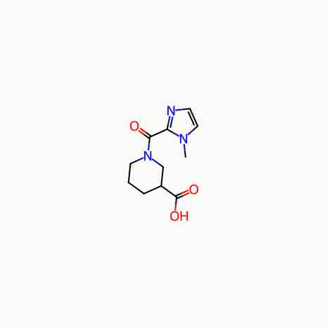 Cn1ccnc1C(=O)N1CCCC(C(=O)O)C1